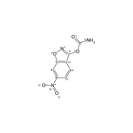 NC(=O)Oc1noc2cc([N+](=O)[O-])ccc12